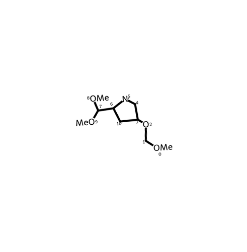 COCOC1C[N]C(C(OC)OC)C1